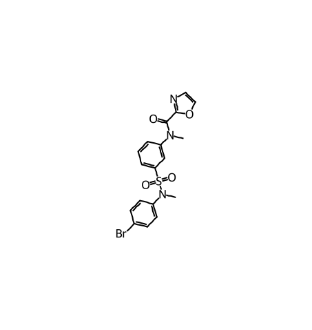 CN(C(=O)c1ncco1)c1cccc(S(=O)(=O)N(C)c2ccc(Br)cc2)c1